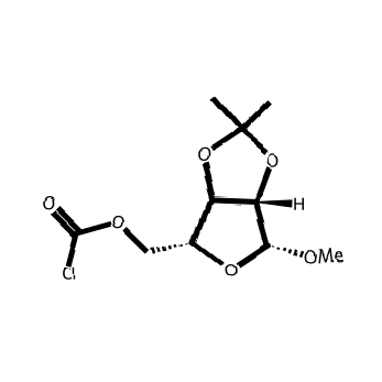 CO[C@@H]1O[C@H](COC(=O)Cl)C2OC(C)(C)O[C@@H]21